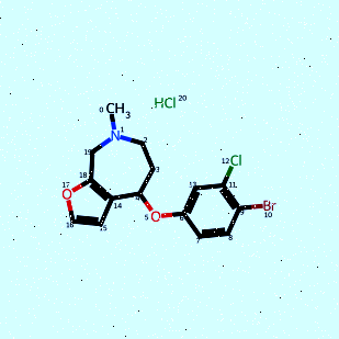 CN1CCC(Oc2ccc(Br)c(Cl)c2)c2ccoc2C1.Cl